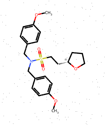 COc1ccc(CN(Cc2ccc(OC)cc2)S(=O)(=O)CC[C@@H]2CCCO2)cc1